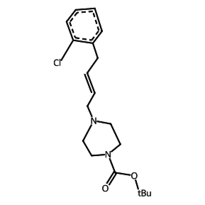 CC(C)(C)OC(=O)N1CCN(CC=CCc2ccccc2Cl)CC1